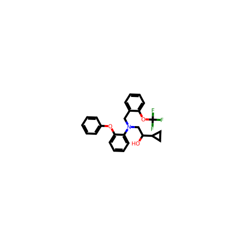 OC(CN(Cc1ccccc1OC(F)(F)F)c1ccccc1Oc1ccccc1)C1CC1